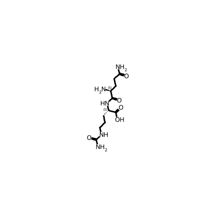 NC(=O)CC[C@H](N)C(=O)N[C@@H](CCCNC(N)=O)C(=O)O